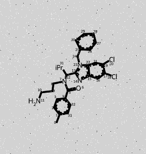 Cc1ccc(C(=O)N(CCCN)C(c2nc3cc(Cl)c(Cl)cc3n2Cc2ccccc2)C(C)C)cc1